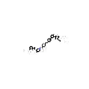 CNC(=O)C(CCC=O)N(C=O)C(=O)c1cc(N2CCC(CCN3CCC(N/C=C4/C=C(NC(=O)c5cccc(C(F)(F)F)n5)C(OC)=CC4=N)CC3)CC2)ccc1C